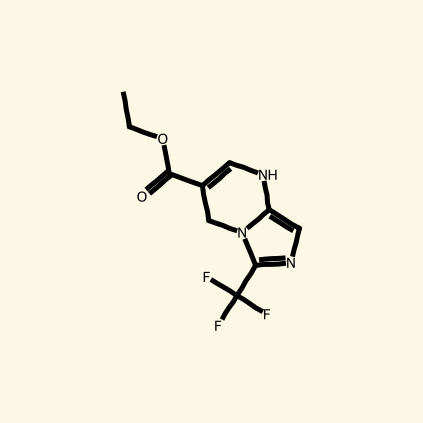 CCOC(=O)C1=CNc2cnc(C(F)(F)F)n2C1